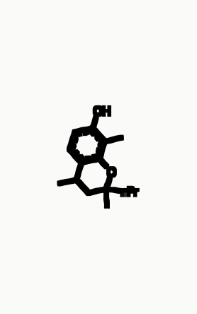 CCCC1(C)CC(C)c2ccc(O)c(C)c2O1